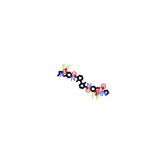 Cc1c(-c2nc3cc(COC(=O)[C@@H]4CCCN4)c(OC(F)F)cc3o2)cccc1-c1cccc(-c2nc3cc(CN4CCC4C)c(OC(F)F)cc3o2)c1C